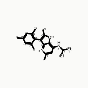 CCC(CC)Nc1cc(C)nc2c(-c3c(C)cc(C)cc3C)c(C)oc12